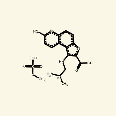 COS(=O)(=O)O.C[C@@H](N)CNc1c(C(=O)O)sc2ccc3nc(O)ccc3c12